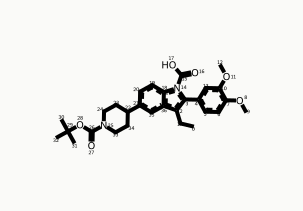 CCc1c(-c2ccc(OC)c(OC)c2)n(C(=O)O)c2ccc(C3CCN(C(=O)OC(C)(C)C)CC3)cc12